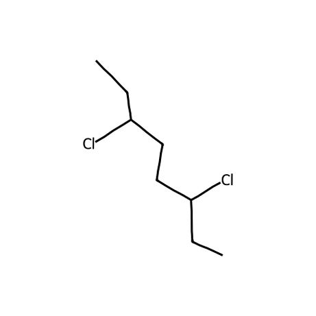 CCC(Cl)CCC(Cl)CC